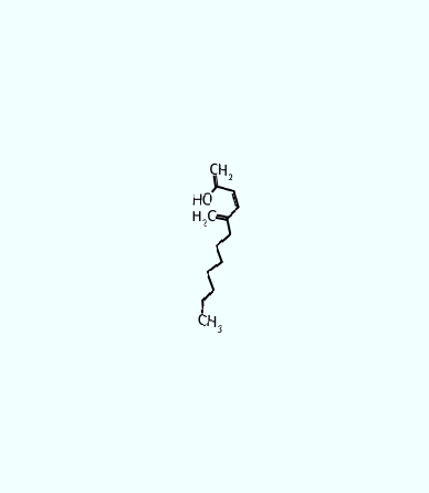 C=C(O)/C=C\C(=C)CCCCCCC